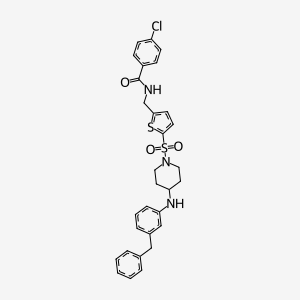 O=C(NCc1ccc(S(=O)(=O)N2CCC(Nc3cccc(Cc4ccccc4)c3)CC2)s1)c1ccc(Cl)cc1